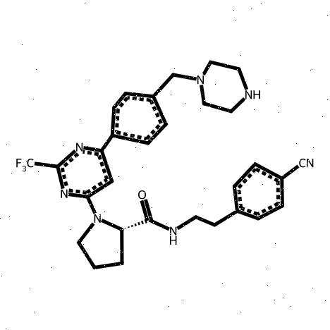 N#Cc1ccc(CCNC(=O)[C@@H]2CCCN2c2cc(-c3ccc(CN4CCNCC4)cc3)nc(C(F)(F)F)n2)cc1